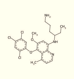 CCC(CCCN)Nc1cc(OC)c(Oc2cc(Cl)c(Cl)cc2Cl)c2c(C)ccnc12